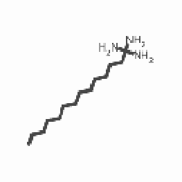 CCCCCCCCCCCCCC(N)(N)N